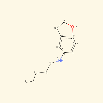 CCCCCNc1ccc2c(c1)CCO2